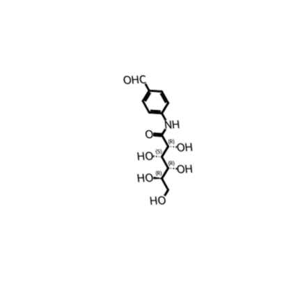 O=Cc1ccc(NC(=O)[C@H](O)[C@@H](O)[C@H](O)[C@H](O)CO)cc1